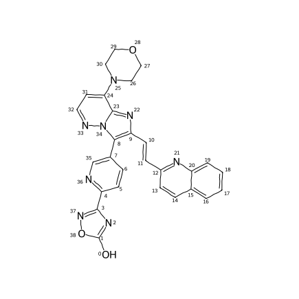 Oc1nc(-c2ccc(-c3c(C=Cc4ccc5ccccc5n4)nc4c(N5CCOCC5)ccnn34)cn2)no1